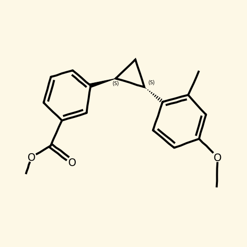 COC(=O)c1cccc([C@H]2C[C@@H]2c2ccc(OC)cc2C)c1